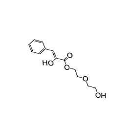 O=C(OCCOCCO)C(O)=Cc1ccccc1